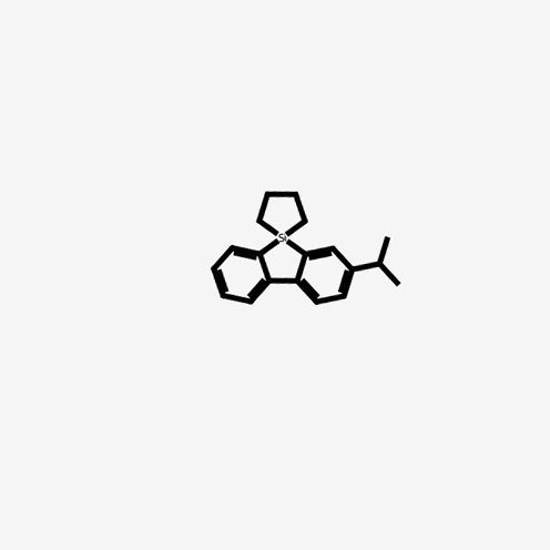 CC(C)c1ccc2c(c1)[Si]1(CCCC1)c1ccccc1-2